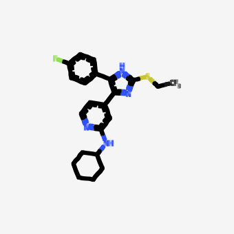 Fc1ccc(-c2[nH]c(SCC(F)(F)F)nc2-c2ccnc(NC3CCCCC3)c2)cc1